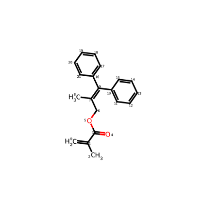 C=C(C)C(=O)OCC(C)=C(c1ccccc1)c1ccccc1